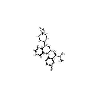 CCN(C(=O)c1cc(F)ccc1N1CCN(C2CCN(C)CC2)c2ncncc21)C(C)C